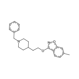 Cc1ccc2c(OCCC3CCN(Cc4ccccc4)CC3)noc2c1